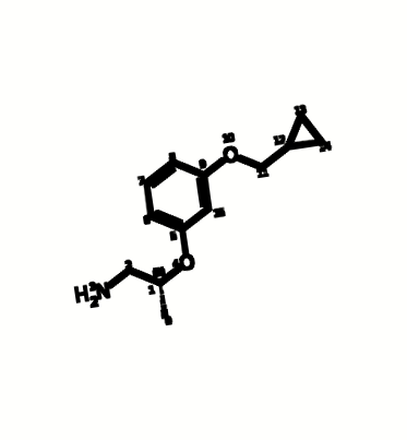 C[C@H](CN)Oc1cccc(OCC2CC2)c1